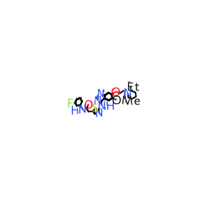 [CH2]CC1CCCCN1CCOc1cc2ncnc(Nc3ncc(CC(=O)Nc4cccc(F)c4)s3)c2cc1OC